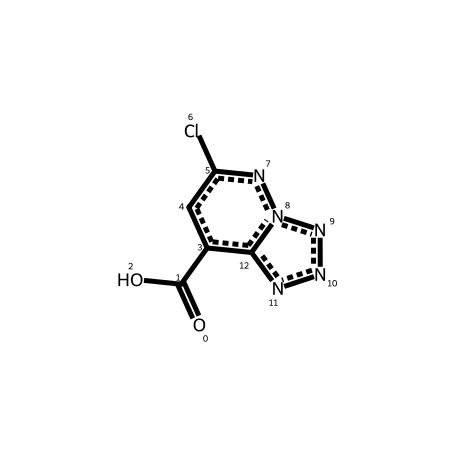 O=C(O)c1cc(Cl)nn2nnnc12